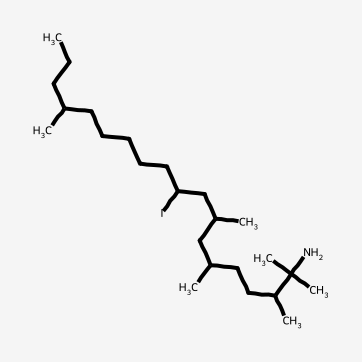 CCCC(C)CCCCCC(I)CC(C)CC(C)CCC(C)C(C)(C)N